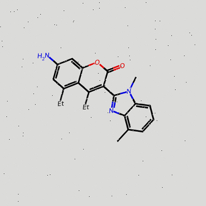 CCc1cc(N)cc2oc(=O)c(-c3nc4c(C)cccc4n3C)c(CC)c12